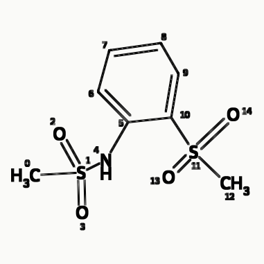 CS(=O)(=O)Nc1ccccc1S(C)(=O)=O